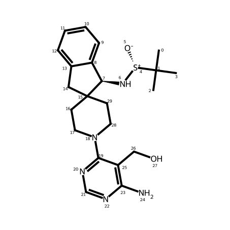 CC(C)(C)[S@@+]([O-])N[C@@H]1c2ccccc2CC12CCN(c1ncnc(N)c1CO)CC2